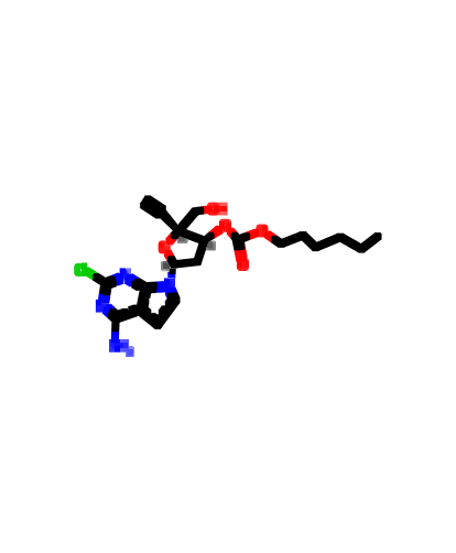 C#C[C@]1(CO)O[C@@H](n2ccc3c(N)nc(Cl)nc32)C[C@@H]1OC(=O)OCCCCCC